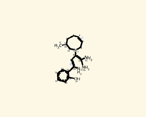 C[C@H]1CC/C=C\CN(C(/C=C(\N)c2ccccc2O)=C(N)N)C1